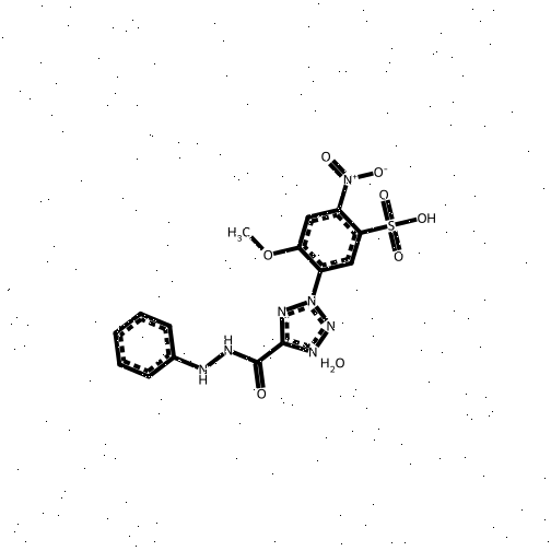 COc1cc([N+](=O)[O-])c(S(=O)(=O)O)cc1-n1nnc(C(=O)NNc2ccccc2)n1.O